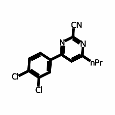 CCCc1cc(-c2ccc(Cl)c(Cl)c2)nc(C#N)n1